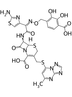 Cc1cc(SCC2=C(C(=O)O)N3C(=O)[C@@H](NC(=O)/C(=N\OCc4ccc(C(=O)O)c(O)c4O)c4csc(N)n4)[C@H]3SC2)n2ncnc2n1